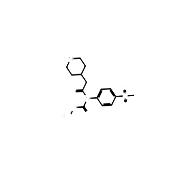 CC(C)(C)OC(=O)N(C(=O)CC1CCNCC1)c1ccc(S(C)(=O)=O)cc1